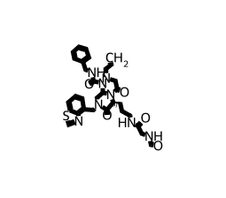 C=CCN1CC(=O)N2C(CN(Cc3cccc4scnc34)C(=O)[C@@H]2CCCNC(=O)CNC=O)N1C(=O)NCc1ccccc1